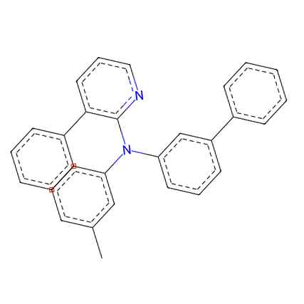 Cc1cccc(N(c2cccc(-c3ccccc3)c2)c2ncccc2-c2ccccc2)c1